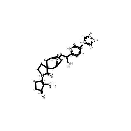 CC1=C(N2CCC3(CC4CCC(C3)N4CC(O)c3ccc(-n4cnnn4)cn3)C2=O)CCC1=O